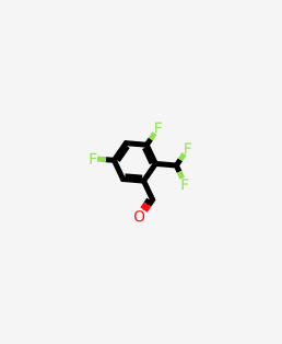 O=Cc1cc(F)cc(F)c1C(F)F